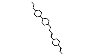 CC=CC1CCC(C=CCCC2CCC(C3CCC(CCC)CC3)CC2)CC1